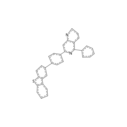 c1ccc(-c2nc(-c3ccc(-c4ccc5sc6ccccc6c5c4)cc3)cc3ncccc23)cc1